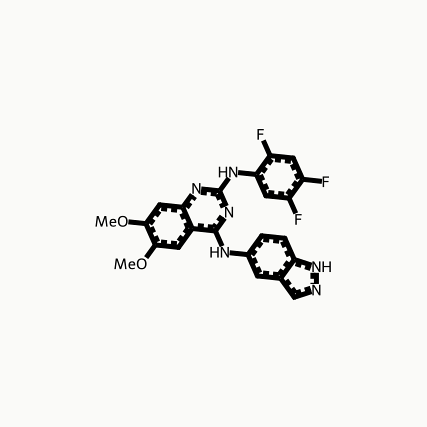 COc1cc2nc(Nc3cc(F)c(F)cc3F)nc(Nc3ccc4[nH]ncc4c3)c2cc1OC